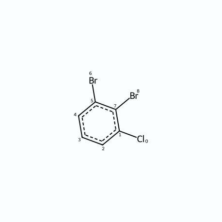 Clc1cccc(Br)c1Br